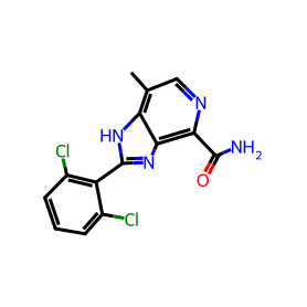 Cc1cnc(C(N)=O)c2nc(-c3c(Cl)cccc3Cl)[nH]c12